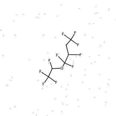 FC(OC(F)(F)C(F)CC(F)(F)F)C(F)(F)F